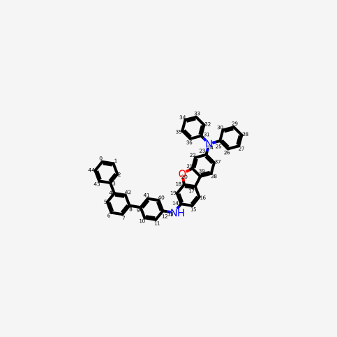 c1ccc(-c2cccc(-c3ccc(Nc4ccc5c(c4)oc4cc(N(c6ccccc6)c6ccccc6)ccc45)cc3)c2)cc1